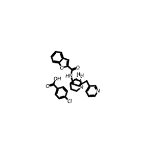 O=C(N[C@@H]1C2CCN(CC2)[C@@H]1Cc1cccnc1)c1cc2ccccc2o1.O=C(O)c1ccc(Cl)cc1